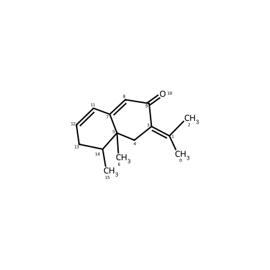 CC(C)=C1CC2(C)C(=CC1=O)C=CCC2C